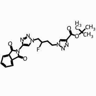 CC(C)(C)OC(=O)c1cn(CCC(F)Cn2cc(N3C(=O)c4ccccc4C3=O)nn2)nn1